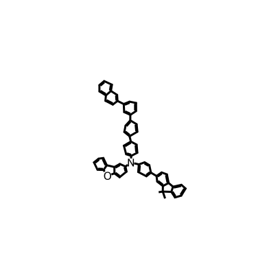 CC1(C)c2ccccc2-c2ccc(-c3ccc(N(c4ccc(-c5ccc(-c6cccc(-c7ccc8ccccc8c7)c6)cc5)cc4)c4ccc5oc6ccccc6c5c4)cc3)cc21